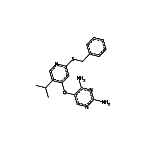 CC(C)c1cnc(SCc2ccccc2)cc1Oc1cnc(N)nc1N